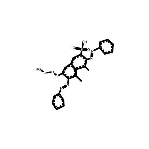 Cc1c(N=Nc2ccccc2)c(SOOO)cc2cc(S(=O)(=O)O)c(N=Nc3ccccc3)c(C)c12